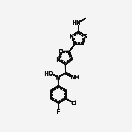 CNc1nc(-c2cc(C(=N)N(O)c3ccc(F)c(Cl)c3)no2)cs1